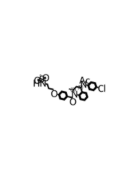 CC(=O)N(c1ccc(Cl)cc1)[C@@H]1C[C@H](C)N(C(=O)c2ccc(OCCCNS(C)(=O)=O)cc2)c2ccccc21